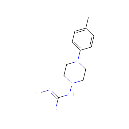 Cc1ccc(N2CCN(NC(N)=NC#N)CC2)cc1